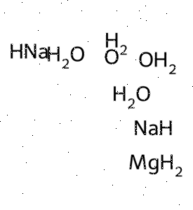 O.O.O.O.[MgH2].[NaH].[NaH]